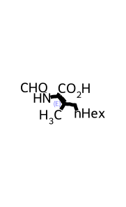 CCCCCCC/C(C)=C(/NC=O)C(=O)O